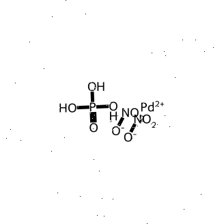 O=P(O)(O)O.O=[N+]([O-])[O-].O=[N+]([O-])[O-].[Pd+2]